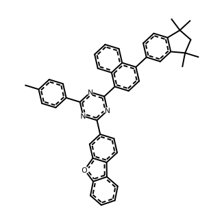 Cc1ccc(-c2nc(-c3ccc4c(c3)oc3ccccc34)nc(-c3ccc(-c4ccc5c(c4)C(C)(C)CC5(C)C)c4ccccc34)n2)cc1